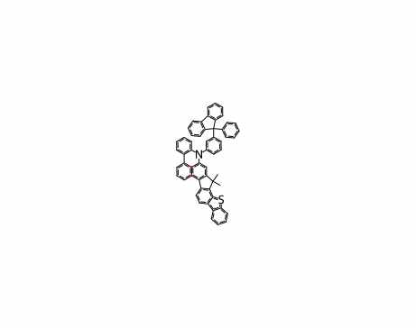 CC1(C)c2cc(N(c3cccc(C4(c5ccccc5)c5ccccc5-c5ccccc54)c3)c3ccccc3-c3ccccc3)ccc2-c2ccc3c(sc4ccccc43)c21